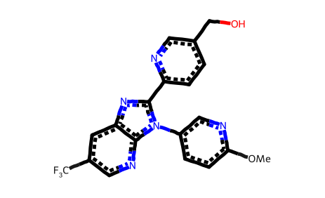 COc1ccc(-n2c(-c3ccc(CO)cn3)nc3cc(C(F)(F)F)cnc32)cn1